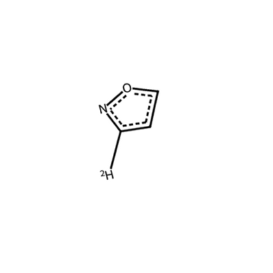 [2H]c1ccon1